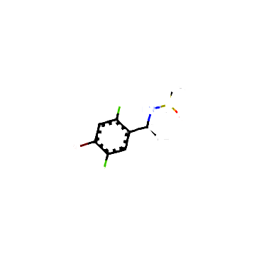 C[C@H](N[S@+]([O-])C(C)(C)C)c1cc(F)c(Br)cc1F